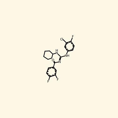 O=C(/N=C(/Nc1ccc(F)c(Cl)c1)NC1CCCCC1)c1ccc(F)c(F)c1